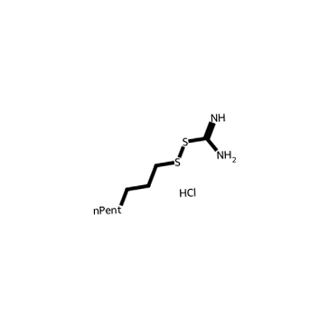 CCCCCCCCSSC(=N)N.Cl